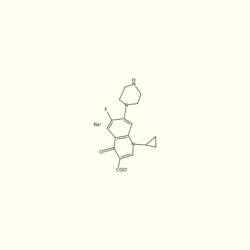 O=C([O-])c1cn(C2CC2)c2cc(N3CCNCC3)c(F)cc2c1=O.[Na+]